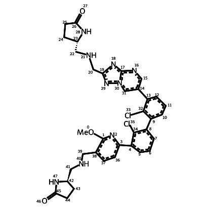 COc1nc(-c2cccc(-c3cccc(-c4cnc5nc(CNC[C@@H]6CCC(=O)N6)nn5c4)c3Cl)c2Cl)ccc1CNC[C@H]1CCC(=O)N1